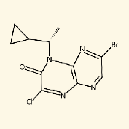 C[C@@H](C1CC1)n1c(=O)c(Cl)nc2ncc(Br)nc21